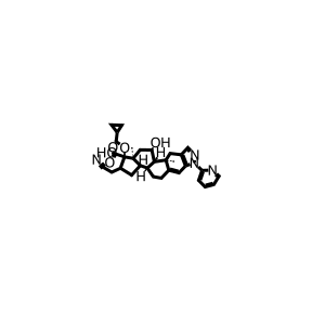 C[C@]12Cc3cnn(-c4ccccn4)c3C=C1CC[C@@H]1[C@@H]2[C@@H](O)C[C@@]2(C)[C@H]1CC(CC#N)[C@]2(OC(=O)C1CC1)C(=O)O